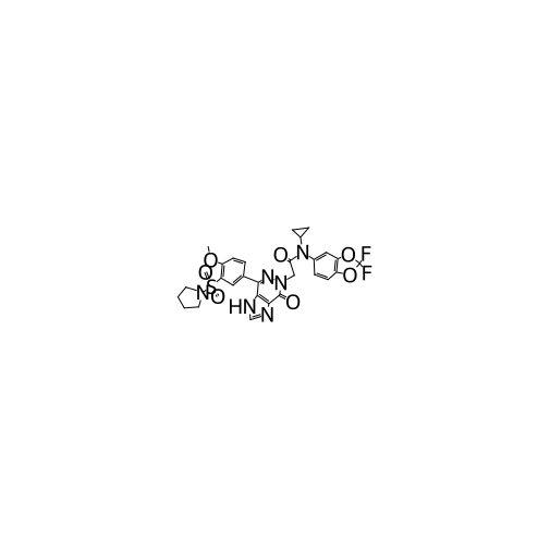 COc1ccc(-c2nn(CC(=O)N(c3ccc4c(c3)OC(F)(F)O4)C3CC3)c(=O)c3nc[nH]c23)cc1S(=O)(=O)N1CCCC1